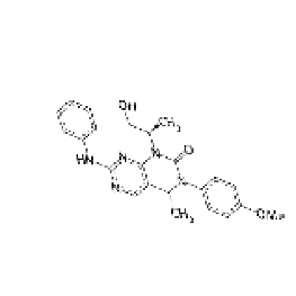 COc1ccc(N2C(=O)N([C@H](C)CO)c3nc(Nc4ccccc4)ncc3[C@H]2C)cc1